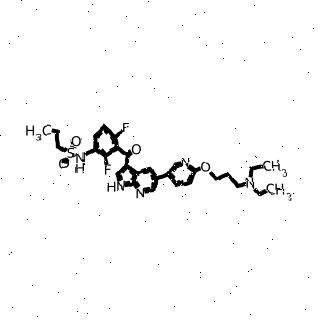 CCCS(=O)(=O)Nc1ccc(F)c(C(=O)c2c[nH]c3ncc(-c4ccc(OCCCN(CC)CC)nc4)cc23)c1F